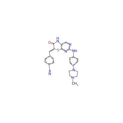 CN1CCN(c2ccc(Nc3ncc4c(n3)S/C(=C\c3ccc(C#N)cc3)C(=O)N4)cc2)CC1